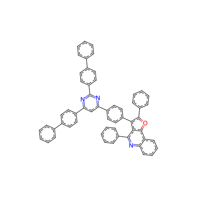 c1ccc(-c2ccc(-c3cc(-c4ccc(-c5c(-c6ccccc6)oc6c5c(-c5ccccc5)nc5ccccc56)cc4)nc(-c4ccc(-c5ccccc5)cc4)n3)cc2)cc1